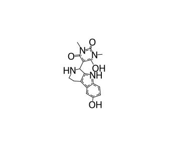 Cn1c(O)c(C2NCCc3c2[nH]c2ccc(O)cc32)c(=O)n(C)c1=O